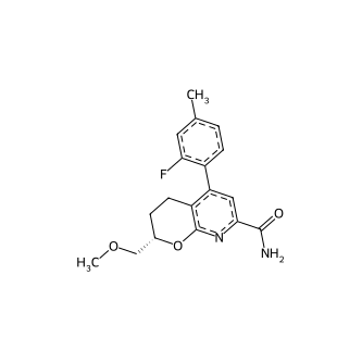 COC[C@@H]1CCc2c(-c3ccc(C)cc3F)cc(C(N)=O)nc2O1